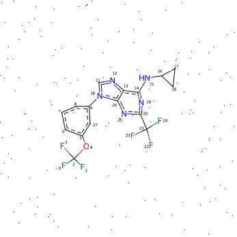 FC(F)(F)Oc1cccc(-n2cnc3c(NC4CC4)nc(C(F)(F)F)nc32)c1